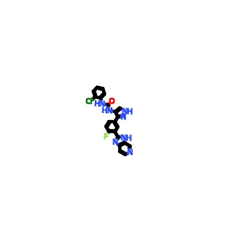 O=C(Nc1ccccc1Cl)Nc1c[nH]nc1-c1ccc(F)c(-c2nc3ccncc3[nH]2)c1